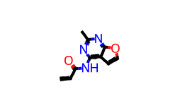 C=CC(=O)Nc1nc(C)nc2occc12